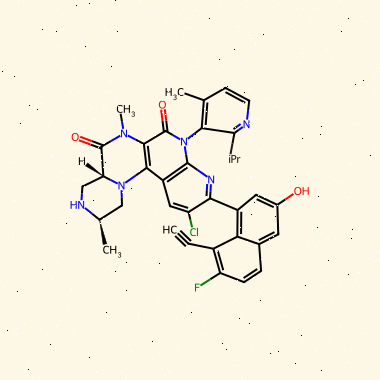 C#Cc1c(F)ccc2cc(O)cc(-c3nc4c(cc3Cl)c3c(c(=O)n4-c4c(C)ccnc4C(C)C)N(C)C(=O)[C@H]4CN[C@H](C)CN34)c12